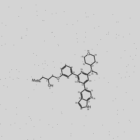 CNCC(O)COc1cccc(-c2nc(-c3cnc4[nH]ccc4c3)cc(N(C)C3CCOCC3)n2)c1